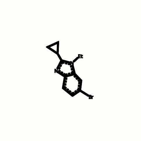 CCn1c(C2CC2)nc2ccc(Br)cc21